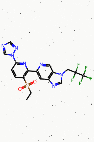 CCS(=O)(=O)c1ccc(-n2cncn2)nc1-c1cc2ncn(CC(F)(F)C(F)(F)F)c2cn1